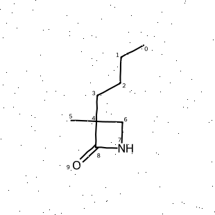 CCCCC1(C)CNC1=O